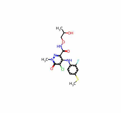 CSc1ccc(Nc2c(C(=O)NOCC(C)O)nn(C)c(=O)c2Cl)c(F)c1